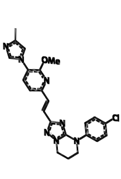 COc1nc(C=Cc2nc3n(n2)CCCN3c2ccc(Cl)cc2)ccc1-n1cnc(C)c1